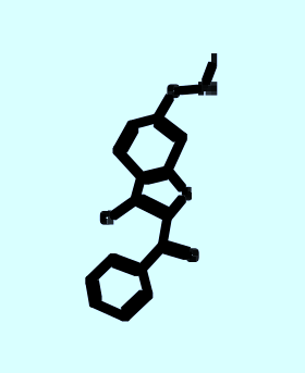 O=C(c1ccccc1)c1sc2cc(OPI)ccc2c1Cl